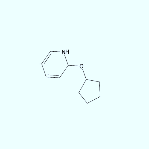 [C]1=CNC(OC2CCCC2)C=C1